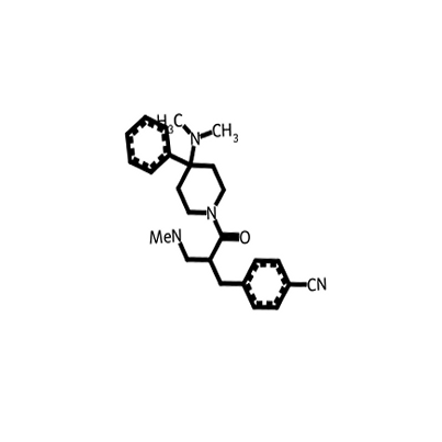 CNCC(Cc1ccc(C#N)cc1)C(=O)N1CCC(c2ccccc2)(N(C)C)CC1